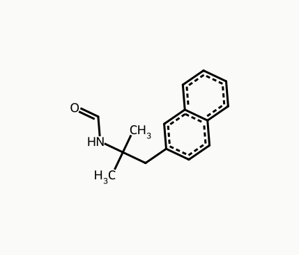 CC(C)(Cc1ccc2ccccc2c1)NC=O